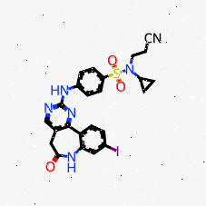 N#CCCN(C1CC1)S(=O)(=O)c1ccc(Nc2ncc3c(n2)-c2ccc(I)cc2NC(=O)C3)cc1